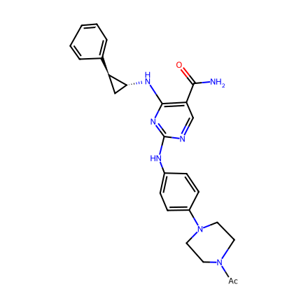 CC(=O)N1CCN(c2ccc(Nc3ncc(C(N)=O)c(N[C@@H]4C[C@H]4c4ccccc4)n3)cc2)CC1